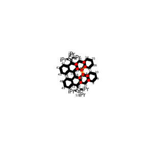 CC(C)[Si](c1cc(P(c2ccccc2)c2ccccc2)c(-c2c(P(c3ccccc3)c3ccccc3)cc([Si](C(C)C)(C(C)C)C(C)C)c3ccccc23)c2ccccc12)(C(C)C)C(C)C